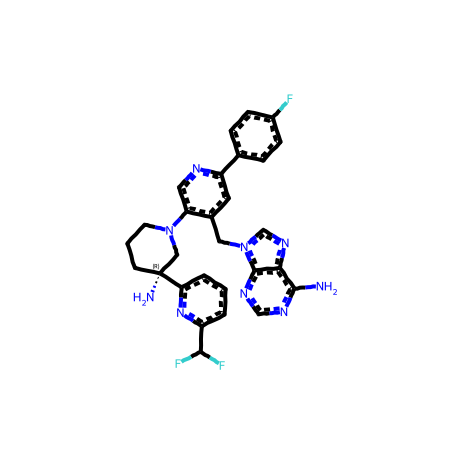 Nc1ncnc2c1ncn2Cc1cc(-c2ccc(F)cc2)ncc1N1CCC[C@](N)(c2cccc(C(F)F)n2)C1